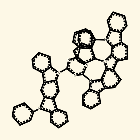 c1ccc(-c2nc(-n3c4ccccc4c4cc5c(cc43)c3ccccc3n5-c3ccccc3)nc(-n3c4ccccc4c4ccc5c6ccc7c8ccccc8n(-c8ccccc8)c7c6n(-c6ccccc6)c5c43)n2)cc1